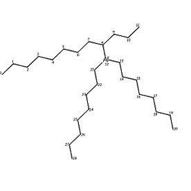 CCCCCCCC[CH](CCC)[Al]([CH2]CCCCCCC)[CH2]CCCCCCC